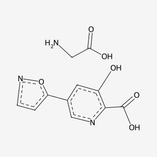 NCC(=O)O.O=C(O)c1ncc(-c2ccno2)cc1O